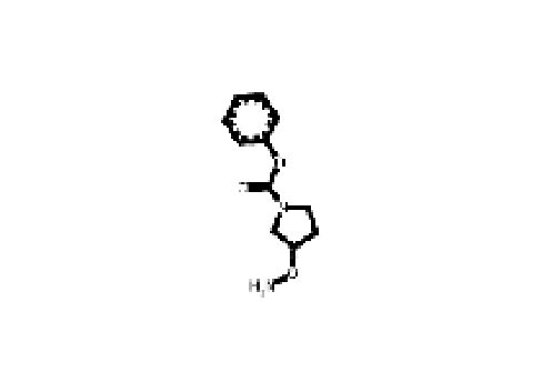 NOC1CCN(C(=O)Oc2ccccc2)C1